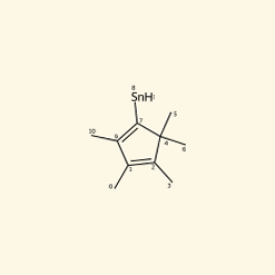 CC1=C(C)C(C)(C)[C]([SnH])=C1C